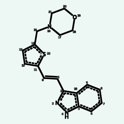 C(=C\c1n[nH]c2ccccc12)/c1ccc(CN2CCOCC2)s1